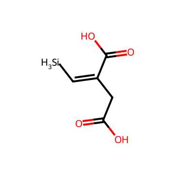 O=C(O)CC(=C[SiH3])C(=O)O